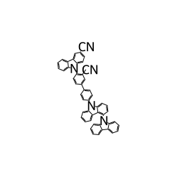 N#Cc1ccc2c(c1)c1ccccc1n2-c1ccc(-c2ccc(-n3c4ccccc4c4c(-n5c6ccccc6c6ccccc65)cccc43)cc2)cc1C#N